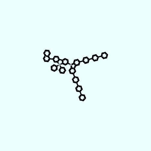 c1ccc(-c2ccc(-c3ccc(-c4ccc5c(c4)c4cc(-c6ccc(-c7ccc(-c8ccccc8)cc7)cc6)ccc4n5-c4ccc5c(c4)[Si](c4ccccc4)(c4ccccc4)c4cc(-c6cccc7ccccc67)ccc4-5)cc3)cc2)cc1